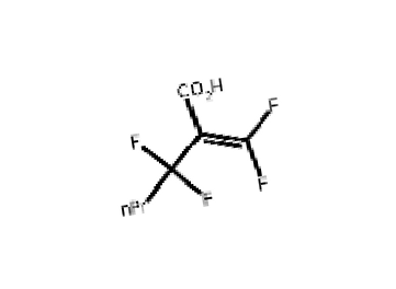 CCCC(F)(F)C(C(=O)O)=C(F)F